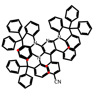 N#Cc1ccc(-c2c(-c3ccccc3)c(N3c4ccccc4C(c4ccccc4)(c4ccccc4)c4ccccc43)nc(N3c4ccccc4C(c4ccccc4)(c4ccccc4)c4ccccc43)c2N2c3ccccc3C(c3ccccc3)(c3ccccc3)c3ccccc32)cc1